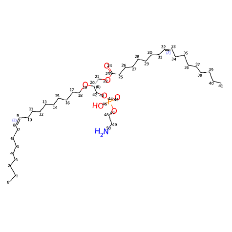 CCCCCCCC/C=C\CCCCCCCCCO[C@H](COC(=O)CCCCCCC/C=C\CCCCCCCC)COP(=O)(O)OCCN